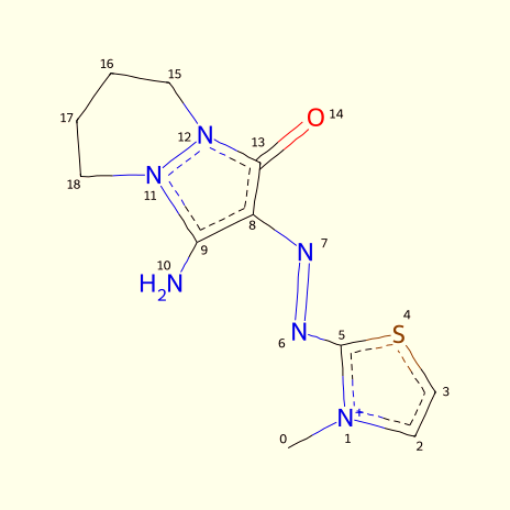 C[n+]1ccsc1/N=N/c1c(N)n2n(c1=O)CCCC2